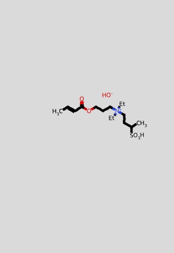 CC=CC(=O)OCCC[N+](CC)(CC)CCC(C)S(=O)(=O)O.[OH-]